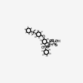 CC(C)(c1ccccc1)c1ccc(Oc2ccc(S(=O)(=O)c3ccccc3)c(S(=O)(=O)CS(=O)(=O)O)c2)cc1